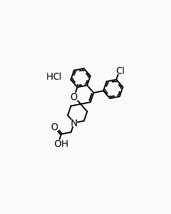 Cl.O=C(O)CN1CCC2(C=C(c3cccc(Cl)c3)c3ccccc3O2)CC1